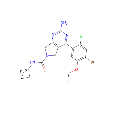 CCOc1cc(-c2nc(N)nc3c2CN(C(=O)NC24CC(C2)C4)C3)c(Cl)cc1Br